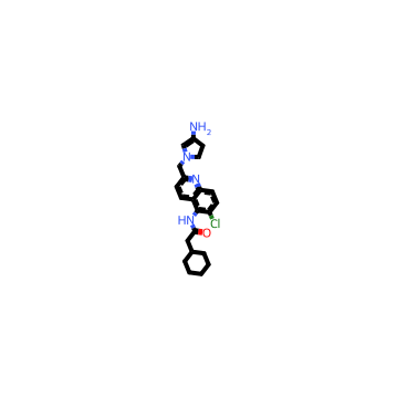 NC1=CN(Cc2ccc3c(NC(=O)CC4CCCCC4)c(Cl)ccc3n2)CC1